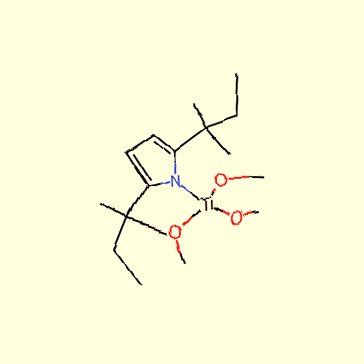 CCC(C)(C)c1ccc(C(C)(C)CC)[n]1[Ti]([O]C)([O]C)[O]C